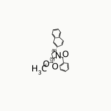 COC(=O)[C@@H]1C[C@H](c2ccc3ccccc3c2)N1C(=O)c1ccccc1